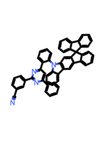 N#Cc1cccc(-c2nc(-c3ccccc3)cc(-c3ccccc3-n3c4ccccc4c4cc5c(cc43)C3(c4ccccc4-c4ccccc43)c3ccccc3-5)n2)c1